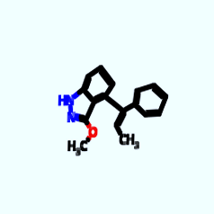 C/C=C(\c1ccccc1)c1cccc2[nH]nc(OC)c12